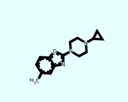 [CH2]c1ccc2oc(N3CCN(C4CC4)CC3)nc2c1